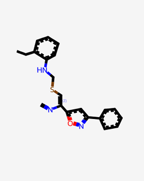 C=N/C(=C\SCNc1ccccc1CC)c1cc(-c2ccccc2)no1